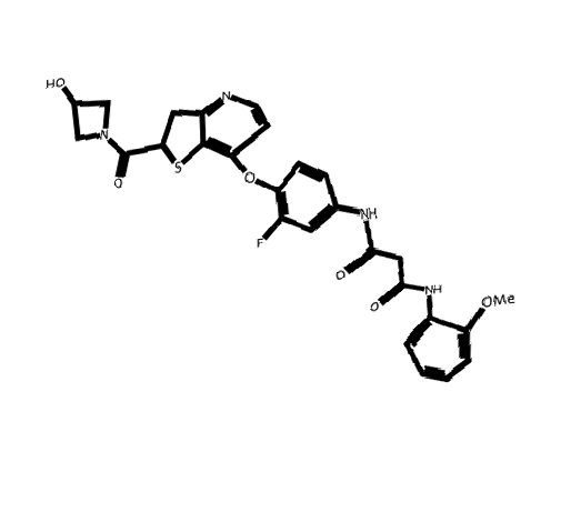 COc1ccccc1NC(=O)CC(=O)Nc1ccc(Oc2ccnc3c2SC(C(=O)N2CC(O)C2)C3)c(F)c1